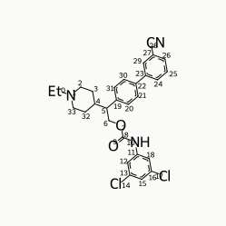 CCN1CCC(C(COC(=O)Nc2cc(Cl)cc(Cl)c2)c2ccc(-c3cccc(C#N)c3)cc2)CC1